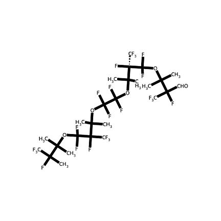 CC(C)(OC(F)(F)C(F)(C(F)(F)F)C(C)(C)OC(F)(F)C(F)(F)OC(C)(C)[C@](F)(C(F)(F)F)C(F)(F)OC(C)(C)C(F)(C=O)C(F)(F)F)C(C)(F)C(F)(F)F